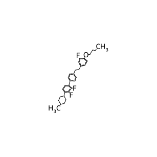 CCCCOc1ccc(CCc2ccc(-c3ccc(C4CCC(C)CC4)c(F)c3F)cc2)cc1F